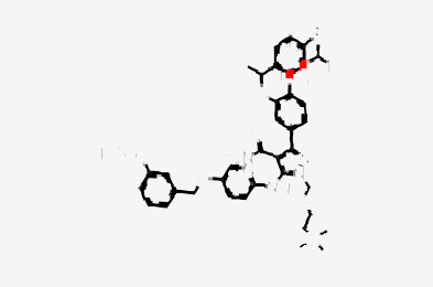 CC(Oc1cc(-c2nn(COCC[Si](C)(C)C)c(Nc3ccc(OCc4cccc(C(=O)O)c4)cn3)c2C(N)=O)ccc1NS(=O)(=O)C(F)F)c1ccc(F)cc1